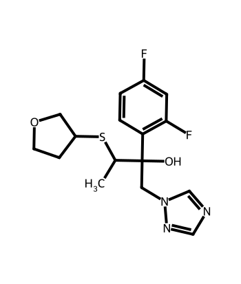 CC(SC1CCOC1)C(O)(Cn1cncn1)c1ccc(F)cc1F